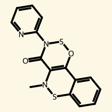 Cn1sc2ccccc2c2osn(-c3ccccn3)c(=O)c1=2